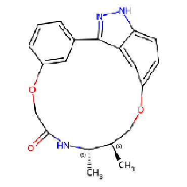 C[C@@H]1COc2ccc3[nH]nc(c3c2)-c2cccc(c2)OCC(=O)N[C@H]1C